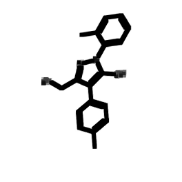 Cc1ccc(-c2c(CC(C)C)nn(-c3ccccc3C)c2O)cc1